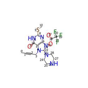 CC#CCN1c2c(nc(SC)[nH]c2=O)N(OC(=O)C(F)(F)F)C1N1CCNCC1